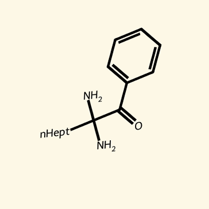 CCCCCCCC(N)(N)C(=O)c1ccccc1